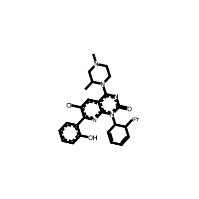 CC(C)C1C=CC=CC1n1c(=O)nc(N2CCN(C)CC2C)c2cc(Cl)c(-c3ccccc3O)nc21